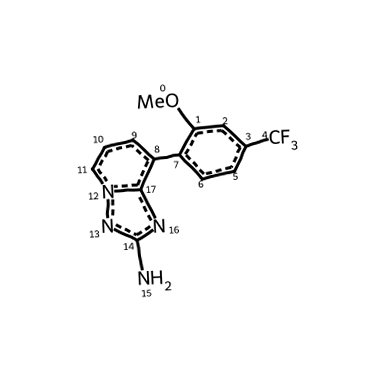 COc1cc(C(F)(F)F)ccc1-c1cccn2nc(N)nc12